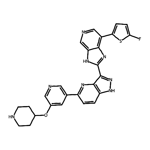 Fc1ccc(-c2cncc3[nH]c(-c4n[nH]c5ccc(-c6cncc(OC7CCNCC7)c6)nc45)nc23)s1